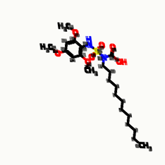 CCCCCCCCCCCCN(C(=O)O)S(=O)(=O)Nc1c(OC)cc(OC)cc1OC